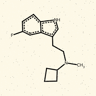 CN(CCc1c[nH]c2ccc(F)cc12)C1CCC1